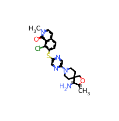 C[C@@H]1OCC2(CCN(c3cnc(Sc4ccc5ccn(C)c(=O)c5c4Cl)cn3)CC2)[C@@H]1N